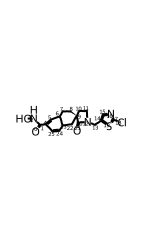 O=C(NO)C1=CC2CC[C@]3(CCN(Cc4cnc(Cl)s4)C3=O)CC2C=C1